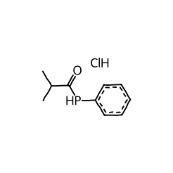 CC(C)C(=O)Pc1ccccc1.Cl